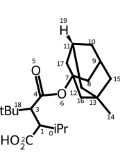 CC(C)C(C(=O)O)C(C(=O)OC12CC3C[C@H](CC(C)(C3)C1)C2)C(C)(C)C